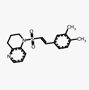 Cc1ccc(/C=C/S(=O)(=O)N2CCCc3ncccc32)cc1C